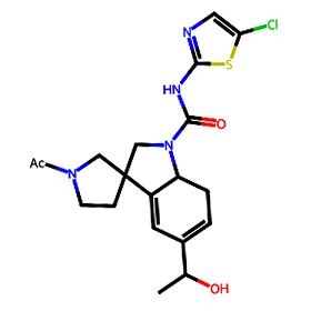 CC(=O)N1CCC2(C1)CN(C(=O)Nc1ncc(Cl)s1)C1CC=C(C(C)O)C=C12